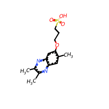 Cc1cc2nc(C)c(C)nc2cc1OCCCS(=O)(=O)O